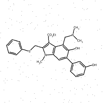 CCOC(=O)c1c(CSc2ccccc2)n(C)c2cc(-c3cccc(O)c3)c(O)c(CN(C)C)c12